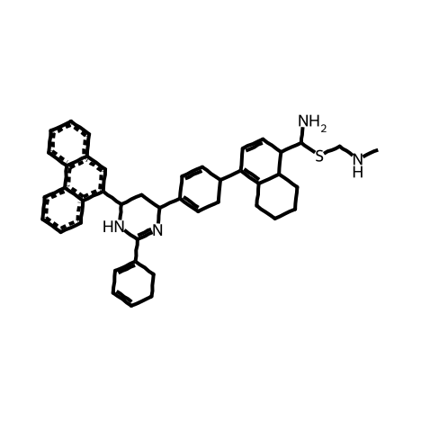 CNCSC(N)C1C=CC(C2C=CC(C3CC(c4cc5ccccc5c5ccccc45)NC(C4=CC=CCC4)=N3)=CC2)=C2CCCCC21